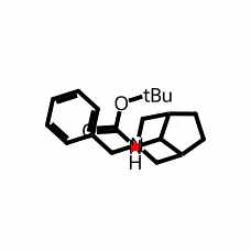 CC(C)(C)OC(=O)NC1C2CCC1CN(Cc1ccccc1)C2